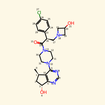 C[C@@H]1C[C@@H](O)c2ncnc(N3CCN(C(=O)[C@H](CN4CC(O)C4)c4ccc(Cl)cc4)CC3)c21